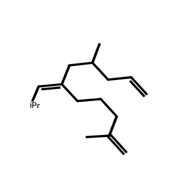 C=CCC(C)CC(=CC(C)C)CCCC(=C)C